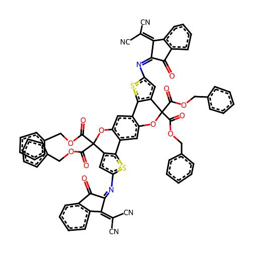 N#CC(C#N)=C1/C(=N/c2cc3c(s2)-c2cc4c(cc2OC3(C(=O)OCc2ccccc2)C(=O)OCc2ccccc2)-c2sc(/N=C3\C(=O)c5ccccc5C3=C(C#N)C#N)cc2C(C(=O)OCc2ccccc2)(C(=O)OCc2ccccc2)O4)C(=O)c2ccccc21